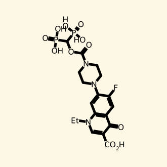 CCn1cc(C(=O)O)c(=O)c2cc(F)c(N3CCN(C(=O)OC(P(=O)(O)O)P(=O)(O)O)CC3)cc21